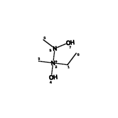 CC[N+](C)(O)N(C)O